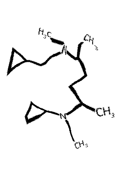 CC(CCC(C)N(C)C1CC1)N(C)CC1CC1